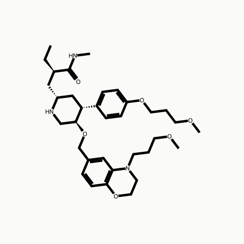 CC[C@H](C[C@@H]1C[C@H](c2ccc(OCCCOC)cc2)[C@@H](OCc2ccc3c(c2)N(CCCOC)CCO3)CN1)C(=O)NC